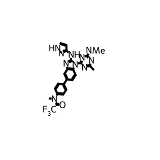 CNc1nc(C)nc(-n2c(Nc3cc[nH]n3)nc3cc(-c4ccc(N(C)C(=O)C(F)(F)F)cc4)ccc32)n1